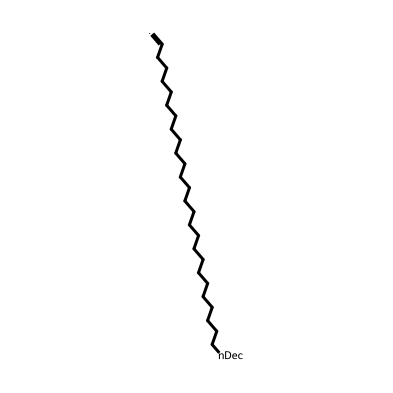 [CH]=CCCCCCCCCCCCCCCCCCCCCCCCCCCCCCCCCCCC